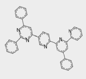 c1ccc(-c2cc(-c3ccccn3)nc(-c3ccc(-c4cc(-c5ccccc5)nc(-c5ccccc5)n4)cn3)c2)cc1